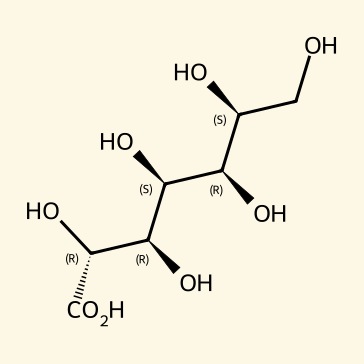 O=C(O)[C@H](O)[C@H](O)[C@@H](O)[C@H](O)[C@@H](O)CO